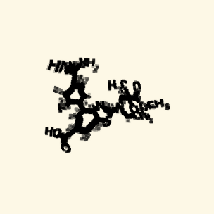 CCN(CC(C)(C)C(=O)OC)c1nc2c(-c3ccc(C(=N)N)cc3F)cc(C(=O)O)cc2s1